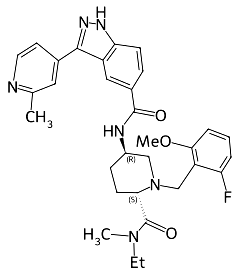 CCN(C)C(=O)[C@@H]1CC[C@@H](NC(=O)c2ccc3[nH]nc(-c4ccnc(C)c4)c3c2)CN1Cc1c(F)cccc1OC